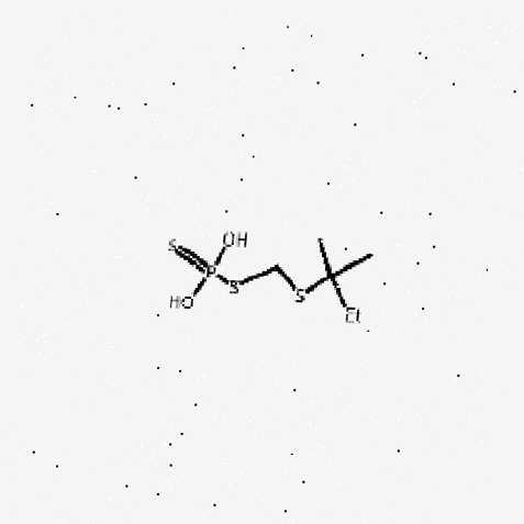 CCC(C)(C)SCSP(O)(O)=S